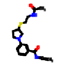 C=C=NC(=O)c1cccc(N2CCC(SCCNC(C)=O)C2)c1